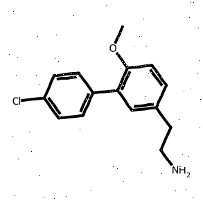 COc1ccc(CCN)cc1-c1ccc(Cl)cc1